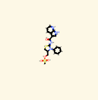 CS(=O)(=O)OCC1CS/C(=N\C(=O)c2c[nH]c3ncccc23)N1c1ccccc1